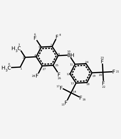 CCC(C)c1c(F)c(F)c(Bc2cc(C(F)(F)F)cc(C(F)(F)F)c2)c(F)c1F